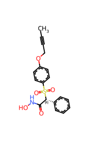 CC#CCOc1ccc(S(=O)(=O)[C@@H](C(=O)NO)c2ccccc2)cc1